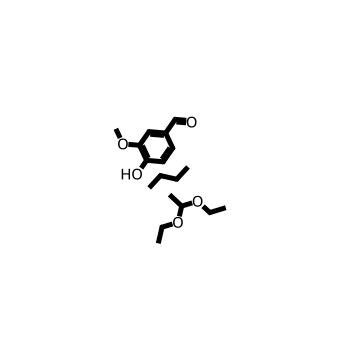 CCCC.CCOC(C)OCC.COc1cc(C=O)ccc1O